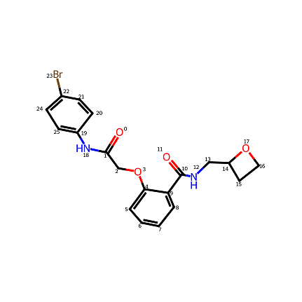 O=C(COc1ccccc1C(=O)NCC1CCO1)Nc1ccc(Br)cc1